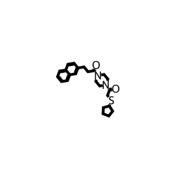 O=C(CCc1ccc2ccccc2c1)N1CCN(C(=O)CSC2CCCC2)CC1